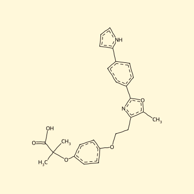 Cc1oc(-c2ccc(-c3ccc[nH]3)cc2)nc1CCOc1ccc(OC(C)(C)C(=O)O)cc1